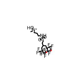 C[N+](C)(O)CCCNS(=O)(=O)CCC(CC(F)(C(F)(F)F)C(F)(F)F)CC(F)(C(F)(F)F)C(F)(F)F